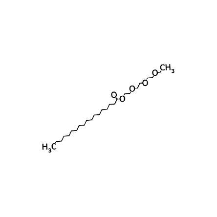 CCCCCCCCCCCCCCCCCC(=O)OCCOCCOCCOCC